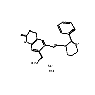 COCc1cc2c(cc1CNC1CCCNC1c1ccccc1)CCC(=O)N2.Cl.Cl